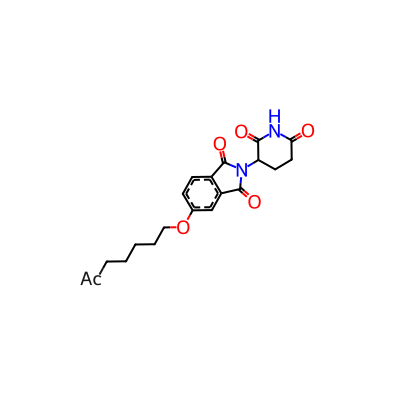 CC(=O)CCCCCOc1ccc2c(c1)C(=O)N(C1CCC(=O)NC1=O)C2=O